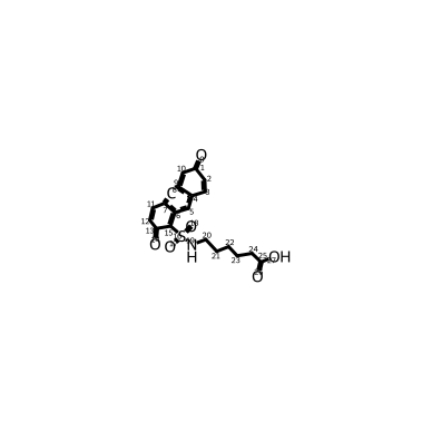 O=C1C=Cc2cc3c(cc2=C1)C=CC(=O)C=3S(=O)(=O)NCCCCCC(=O)O